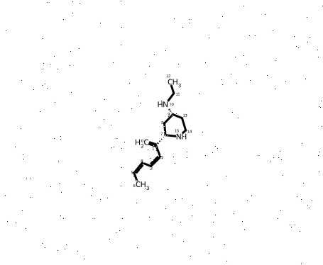 C=C(/C=C\C=C/C)[C@@H]1C[C@H](NCC)CCN1